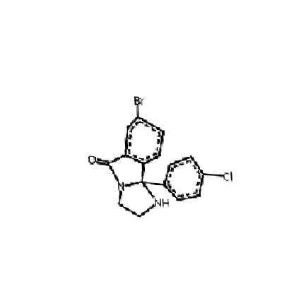 O=C1c2cc(Br)ccc2C2(c3ccc(Cl)cc3)NCCN12